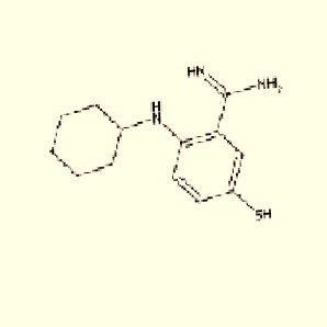 N=C(N)c1cc(S)ccc1NC1CCCCC1